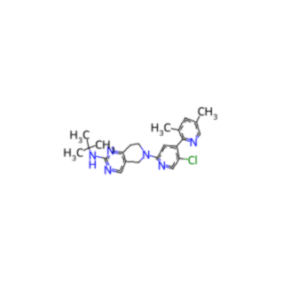 Cc1cnc(-c2cc(N3CCc4nc(NC(C)(C)C)ncc4C3)ncc2Cl)c(C)c1